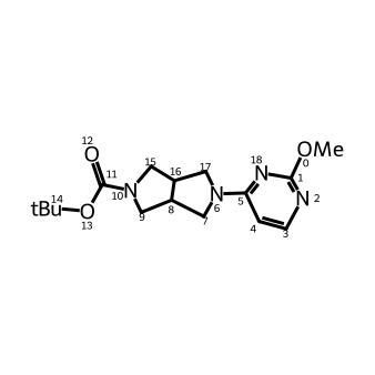 COc1nccc(N2CC3CN(C(=O)OC(C)(C)C)CC3C2)n1